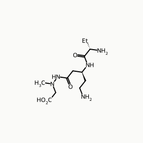 CC[C@H](N)C(=O)N[C@@H](CCN)CC(=O)NN(C)CC(=O)O